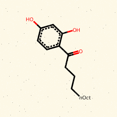 CCCCCCCCCCCC(=O)c1ccc(O)cc1O